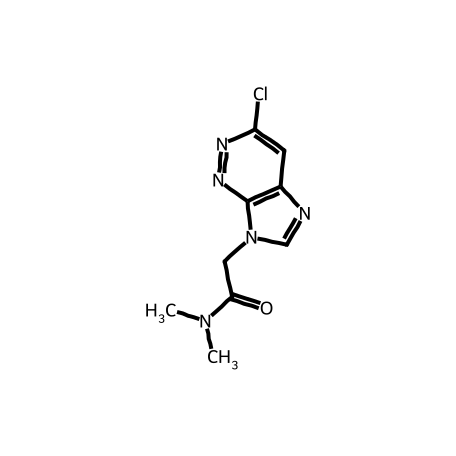 CN(C)C(=O)Cn1cnc2cc(Cl)nnc21